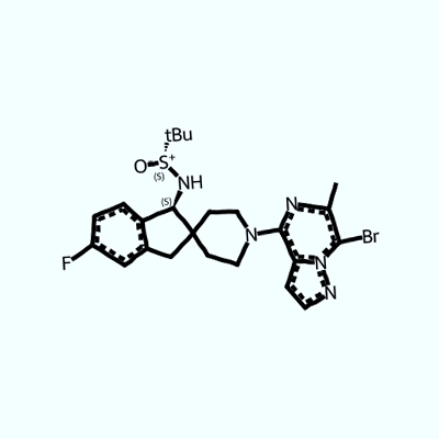 Cc1nc(N2CCC3(CC2)Cc2cc(F)ccc2[C@H]3N[S@+]([O-])C(C)(C)C)c2ccnn2c1Br